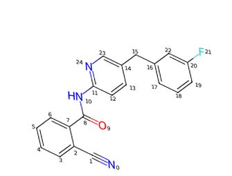 N#Cc1ccccc1C(=O)Nc1ccc(Cc2cccc(F)c2)cn1